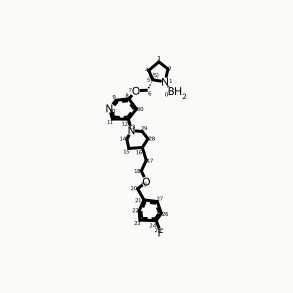 BN1CCC[C@H]1COc1cncc(N2CCC(CCOCc3ccc(F)cc3)CC2)c1